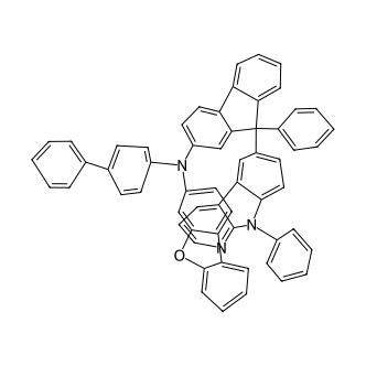 c1ccc(-c2ccc(N(c3ccc4c(c3)C(c3ccccc3)(c3ccc5c(c3)c3cccnc3n5-c3ccccc3)c3ccccc3-4)c3ccc4c(c3)oc3ccccc34)cc2)cc1